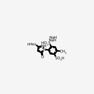 CCCCCCc1cc(=O)n(-c2cc(S(=O)(=O)O)c(C)cc2S(=O)(=O)O)[nH]1.[NaH].[NaH]